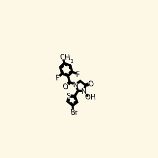 Cc1cc(F)c(C(=O)N2CC(=O)N(O)C2c2cc(Br)cs2)c(F)c1